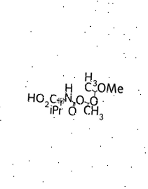 COC(C)OC(C)OC(=O)N[C@H](C(=O)O)C(C)C